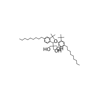 CCCCCCCCCc1ccc(OC(c2ccc(CCCCCCCCC)cc2C(C)(C)C)C(CO)(CO)CO)c(C(C)(C)C)c1